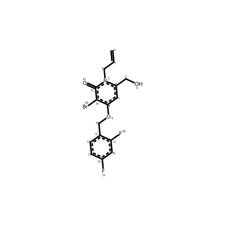 C=CCn1c(CO)cc(OCc2ccc(F)cc2F)c(Br)c1=O